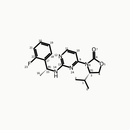 CC(C)[C@H]1COC(=O)N1c1ccnc(N[C@H](C)c2ccccc2F)n1